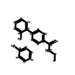 CCNC(=O)c1ccc(-c2ccccc2F)cn1.Fc1ccccc1